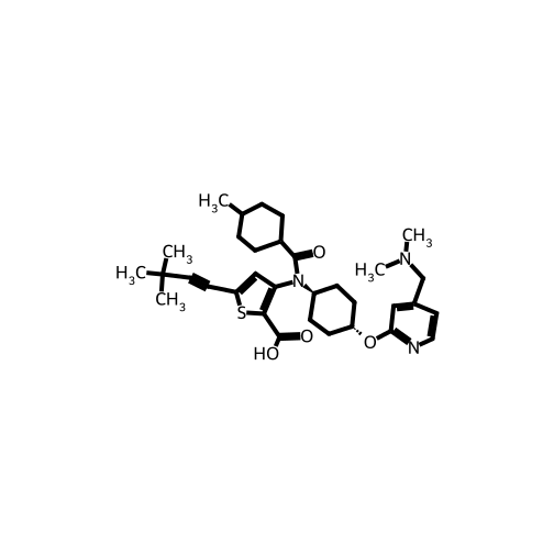 CC1CCC(C(=O)N(c2cc(C#CC(C)(C)C)sc2C(=O)O)[C@H]2CC[C@H](Oc3cc(CN(C)C)ccn3)CC2)CC1